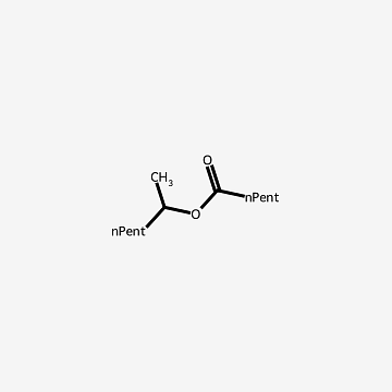 CCCCCC(=O)OC(C)CCCCC